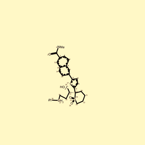 CNC(=O)c1ccc2cc(-c3ccc([C@@]4(C(CC[SiH2]C(C)C)C(=O)O)CCCCS4(=O)=O)s3)ccc2c1